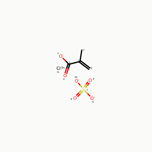 C=C(C)C(=O)[O-].O=S(=O)([O-])[O-].[Cr+3]